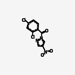 O=C(c1ccc(Cl)cc1Cl)n1cc([N+](=O)[O-])cn1